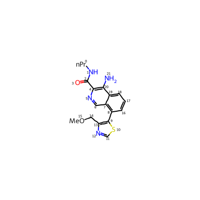 CCCNC(=O)c1ncc2c(-c3scnc3COC)cccc2c1N